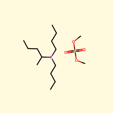 CCCCP(CCCC)C(C)CCC.COS(=O)(=O)OC